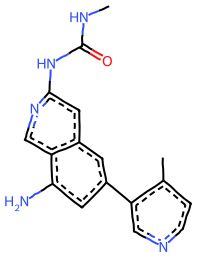 CNC(=O)Nc1cc2cc(-c3cnccc3C)cc(N)c2cn1